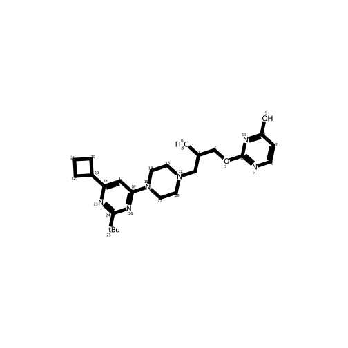 CC(COc1nccc(O)n1)CN1CCN(c2cc(C3CCC3)nc(C(C)(C)C)n2)CC1